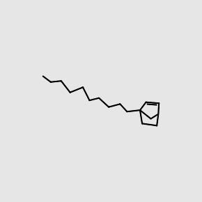 CCCCCCCCCCC12C=CC(CC1)C2